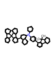 CC1(C)c2ccccc2-c2cccc(-c3ccc(N(c4ccccc4)c4ccc(-c5cccc6c5-c5ccccc5C65c6ccccc6-c6ccccc65)c5ccccc45)cc3)c21